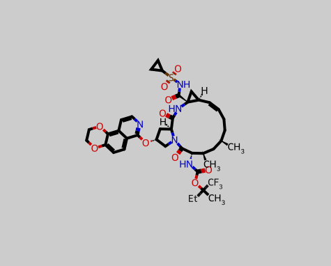 CCC(C)(OC(=O)N[C@@H]1C(=O)N2C[C@H](Oc3nccc4c5c(ccc34)OCCO5)C[C@H]2C(=O)N[C@]2(C(=O)NS(=O)(=O)C3CC3)C[C@H]2/C=C\CC[C@@H](C)C[C@H]1C)C(F)(F)F